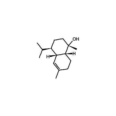 CC1=C[C@@H]2[C@@H](C(C)C)CC[C@](C)(O)[C@@H]2CC1